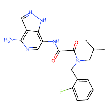 CC(C)CN(Cc1ccccc1F)C(=O)C(=O)Nc1cnc(N)c2cn[nH]c12